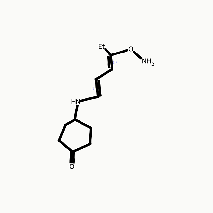 CC/C(=C\C=C\NC1CCC(=O)CC1)ON